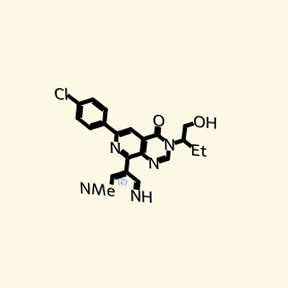 CCC(CO)n1cnc2c(/C(C=N)=C/NC)nc(-c3ccc(Cl)cc3)cc2c1=O